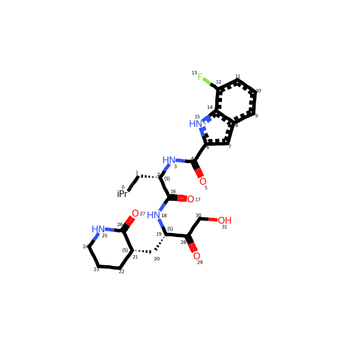 CC(C)C[C@H](NC(=O)c1cc2cccc(F)c2[nH]1)C(=O)N[C@@H](C[C@@H]1CCCNC1=O)C(=O)CO